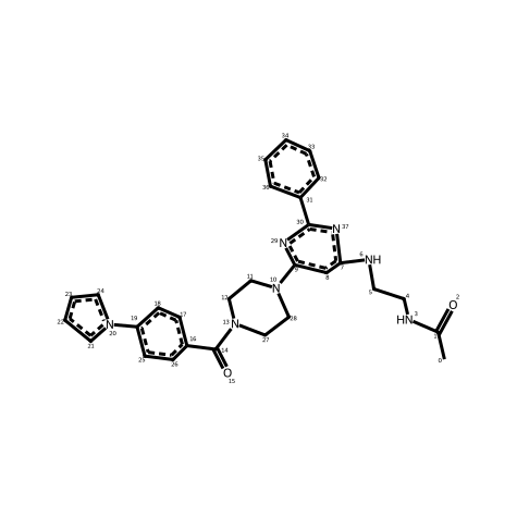 CC(=O)NCCNc1cc(N2CCN(C(=O)c3ccc(-n4cccc4)cc3)CC2)nc(-c2ccccc2)n1